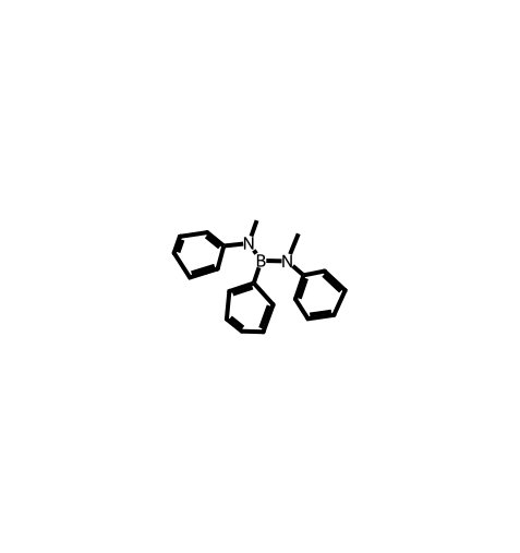 CN(B(c1ccccc1)N(C)c1ccccc1)c1ccccc1